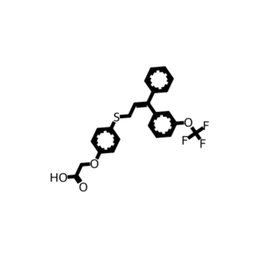 O=C(O)COc1ccc(SCC=C(c2ccccc2)c2cccc(OC(F)(F)F)c2)cc1